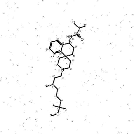 COC(C)(C)CCCC(C)CCN1CCC2(CCC(NC(=O)N(C)C)c3ccccc32)CC1